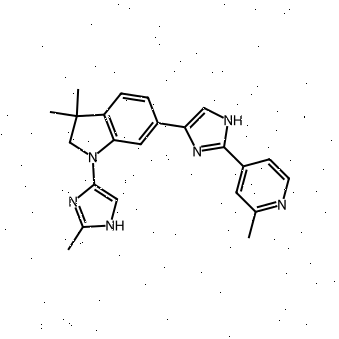 Cc1cc(-c2nc(-c3ccc4c(c3)N(c3c[nH]c(C)n3)CC4(C)C)c[nH]2)ccn1